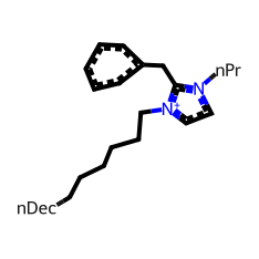 CCCCCCCCCCCCCCCC[n+]1ccn(CCC)c1Cc1ccccc1